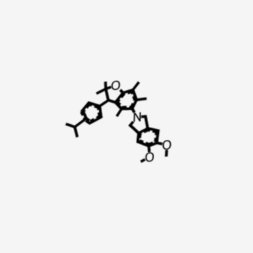 COc1cc2c(cc1OC)CN(c1c(C)c(C)c3c(c1C)C(c1ccc(C(C)C)cc1)C(C)(C)O3)C2